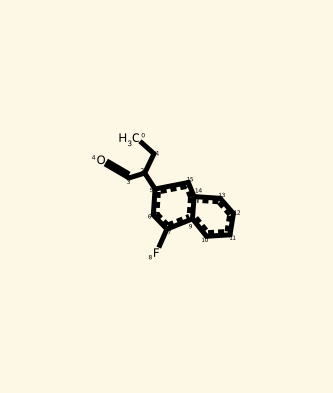 CCC(C=O)c1cc(F)c2ccccc2c1